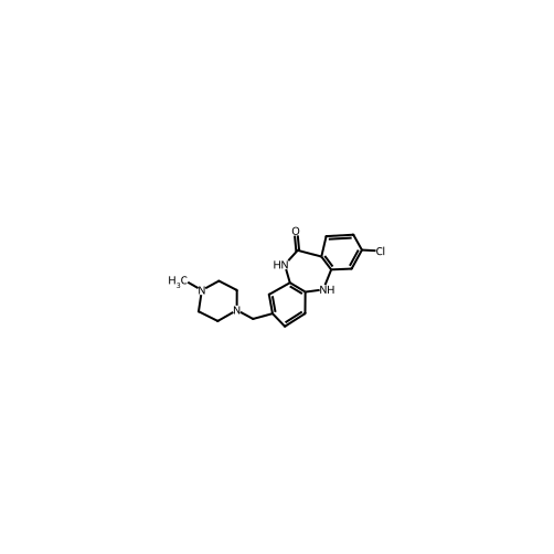 CN1CCN(Cc2ccc3c(c2)NC(=O)c2ccc(Cl)cc2N3)CC1